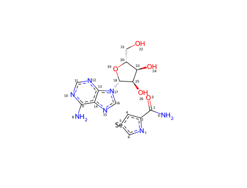 NC(=O)c1c[se]cn1.Nc1ncnc2c1ncn2[C@@H]1O[C@H](CO)[C@@H](O)[C@H]1O